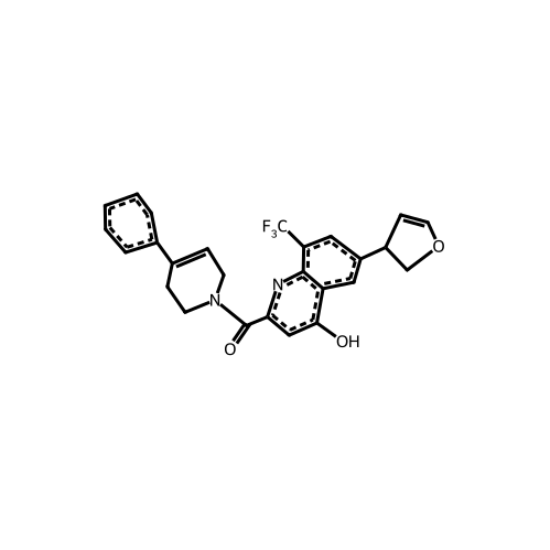 O=C(c1cc(O)c2cc(C3C=COC3)cc(C(F)(F)F)c2n1)N1CC=C(c2ccccc2)CC1